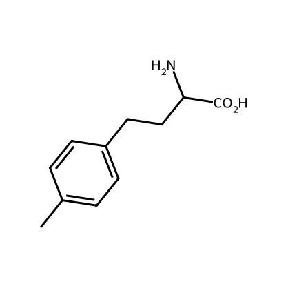 Cc1ccc(CCC(N)C(=O)O)cc1